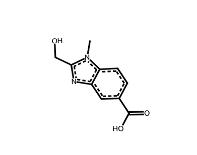 Cn1c(CO)nc2cc(C(=O)O)ccc21